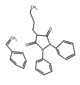 C=Cc1ccccc1.CCCCC1C(=O)N(c2ccccc2)N(c2ccccc2)C1=O